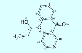 C=CC(O)Oc1ccccc1C(=O)c1ccccc1